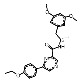 CCOc1ccc(-c2cncc(C(=O)N[C@@H](C)Cc3cc(OC)cc(OC)c3)n2)cc1